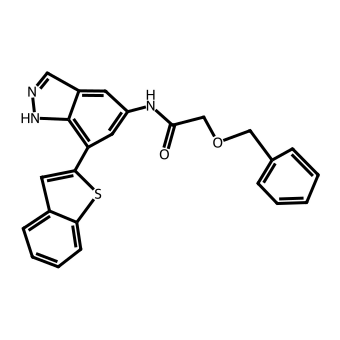 O=C(COCc1ccccc1)Nc1cc(-c2cc3ccccc3s2)c2[nH]ncc2c1